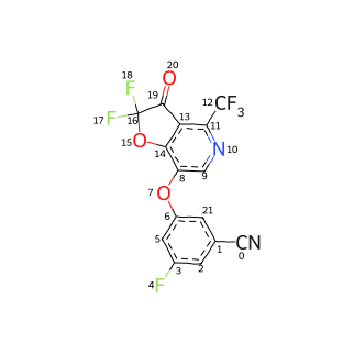 N#Cc1cc(F)cc(Oc2cnc(C(F)(F)F)c3c2OC(F)(F)C3=O)c1